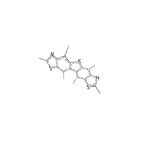 Cc1nc2c(C)c3sc4c(C)c5nc(C)sc5c(C)c4c3c(C)c2s1